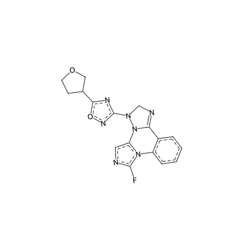 Fc1ncc2n1-c1ccccc1C1=NCN(c3noc(C4CCOC4)n3)N12